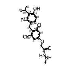 CNNC(=O)COc1cc(Cl)c(Cc2ccc(O)c(C(C)C)c2F)c(Cl)c1